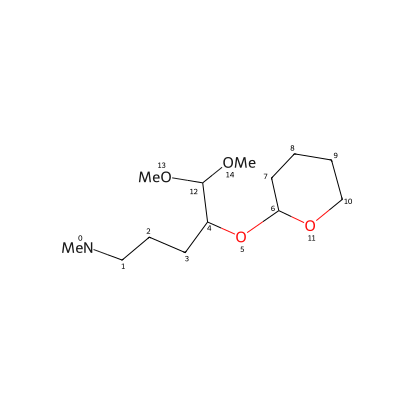 CNCCCC(OC1CCCCO1)C(OC)OC